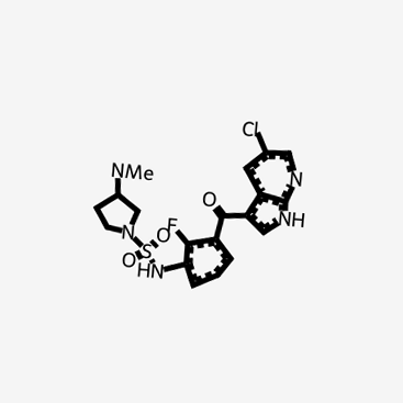 CNC1CCN(S(=O)(=O)Nc2cccc(C(=O)c3c[nH]c4ncc(Cl)cc34)c2F)C1